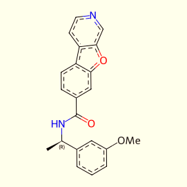 COc1cccc([C@@H](C)NC(=O)c2ccc3c(c2)oc2cnccc23)c1